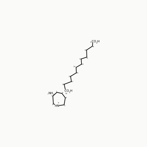 C1CCCNCC1.N.O=C(O)CCCCCCCCCCC(=O)O